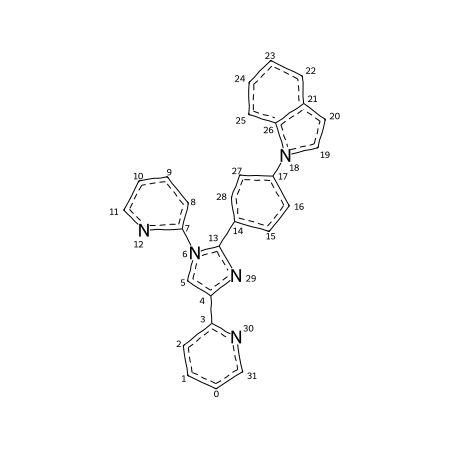 c1ccc(-c2cn(-c3ccccn3)c(-c3ccc(-n4ccc5ccccc54)cc3)n2)nc1